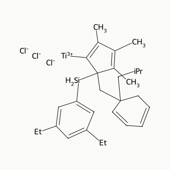 CCc1cc(CC)cc([SiH2]C2(CC3(CC(C)C)C=CC=CC3)C(C)=C(C)C(C)=[C]2[Ti+3])c1.[Cl-].[Cl-].[Cl-]